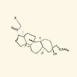 C=C(CBr)[C@H]1CC[C@H]2[C@@H]3CC[C@@H]4C[C@@](O)(COC)CC[C@@H]4[C@H]3CC[C@]12C